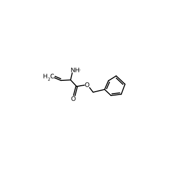 C=CC([NH])C(=O)OCc1ccccc1